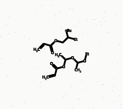 C=CC(=O)OC(C)OC(C)OCC.C=CC(=O)OCC(CC)CCCC